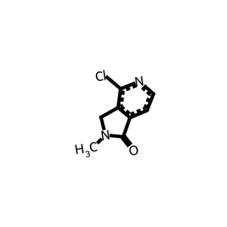 CN1Cc2c(ccnc2Cl)C1=O